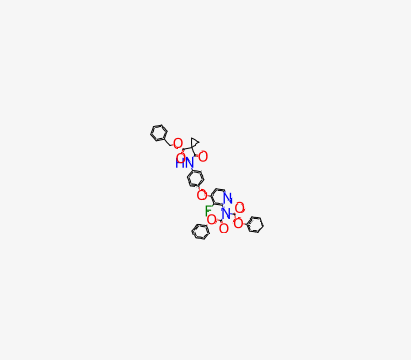 O=C(Oc1ccccc1)N(C(=O)Oc1ccccc1)c1nccc(Oc2ccc(NC(=O)C3(C(=O)OCc4ccccc4)CC3)cc2)c1F